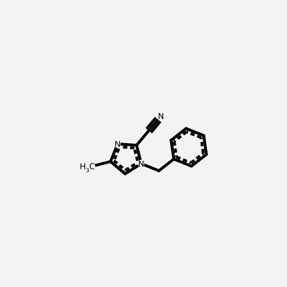 Cc1cn(Cc2ccccc2)c(C#N)n1